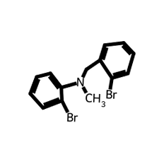 CN(Cc1ccccc1Br)c1ccccc1Br